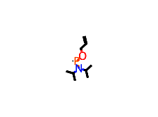 C=CCO[P]N(C(C)C)C(C)C